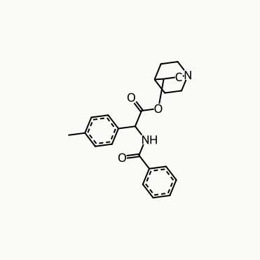 Cc1ccc(C(NC(=O)c2ccccc2)C(=O)OC2CN3CCC2CC3)cc1